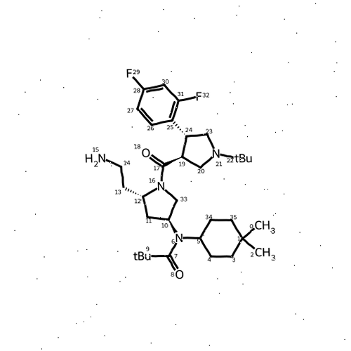 CC1(C)CCC(N(C(=O)C(C)(C)C)[C@H]2C[C@H](CCN)N(C(=O)[C@@H]3CN(C(C)(C)C)C[C@H]3c3ccc(F)cc3F)C2)CC1